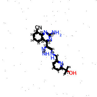 CC(C)(O)c1cccc(CN/C=C(\N=N)c2nc(N)nc3c(C#N)cccc23)n1